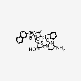 C[C@H](NP(=O)(OC[C@H]1S[C@@H](N2C=CC(N)=NC2O)C[C@H]1O)Oc1ccc2ccccc2c1)C(=O)OCc1ccccc1